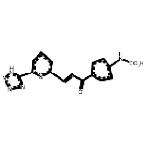 O=C(O)Nc1ccc(C(=O)C=Cc2cccc(-c3nnn[nH]3)n2)cc1